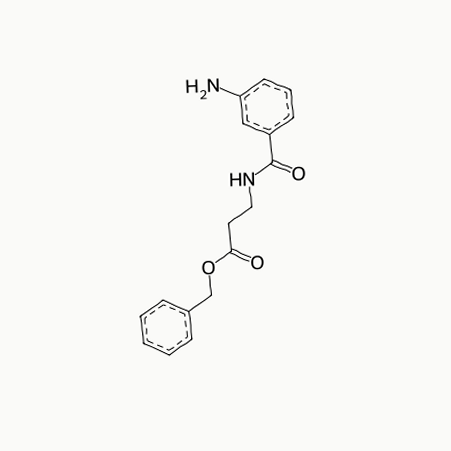 Nc1cccc(C(=O)NCCC(=O)OCc2ccccc2)c1